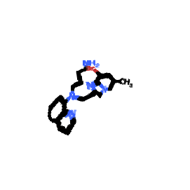 CC1=CN2CC(CN(CCCCN)C3CCCc4cccnc43)N=C2C(Br)=C1